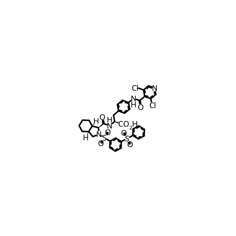 O=C(Nc1ccc(C[C@H](NC(=O)[C@@H]2[C@@H]3CCCC[C@@H]3CN2S(=O)(=O)c2cccc(S(=O)(=O)c3ccccc3)c2)C(=O)O)cc1)c1c(Cl)cncc1Cl